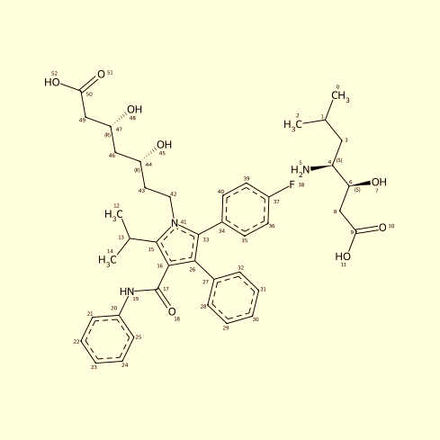 CC(C)C[C@H](N)[C@@H](O)CC(=O)O.CC(C)c1c(C(=O)Nc2ccccc2)c(-c2ccccc2)c(-c2ccc(F)cc2)n1CC[C@@H](O)C[C@@H](O)CC(=O)O